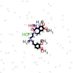 COc1ccc(CCN(C)CCCN2CCc3cc(OC)c(OC)cc3C(=NO)C2=O)cc1OC.Cl